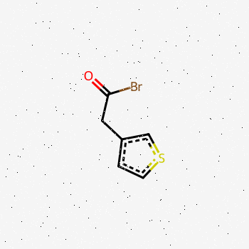 O=C(Br)Cc1ccsc1